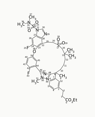 CCOC(=O)CCc1cccc(C2(C)CCCC(C)(C)CS(=O)(=O)CCc3c(c(F)cc4c3ncn4S(=O)(=O)N(C)C)Oc3ccc(F)c(c3)-c3nc2nn3C)c1